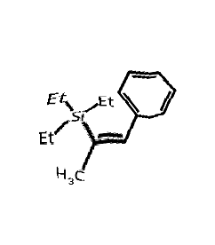 CC[Si](CC)(CC)C(C)=Cc1ccccc1